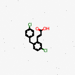 O=C(O)/C=C/c1cc(Cl)ccc1Cc1ccc(Cl)cc1